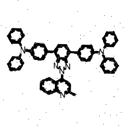 Cc1cc(-n2nc3c(-c4ccc(N(c5ccccc5)c5ccccc5)cc4)ccc(-c4ccc(N(c5ccccc5)c5ccccc5)cc4)c3n2)c2ccccc2n1